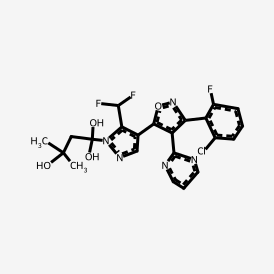 CC(C)(O)CC(O)(O)n1ncc(-c2onc(-c3c(F)cccc3Cl)c2-c2ncccn2)c1C(F)F